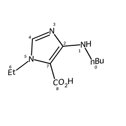 CCCCNc1ncn(CC)c1C(=O)O